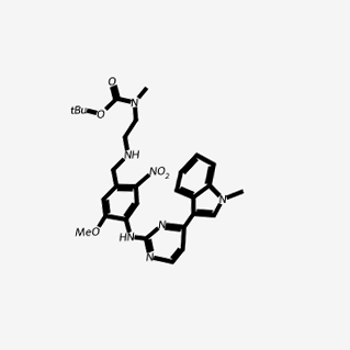 COc1cc(CNCCN(C)C(=O)OC(C)(C)C)c([N+](=O)[O-])cc1Nc1nccc(-c2cn(C)c3ccccc23)n1